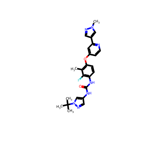 Cc1c(Oc2ccnc(-c3cnn(C)c3)c2)ccc(NC(=O)Nc2cnn(C(C)(C)C)c2)c1F